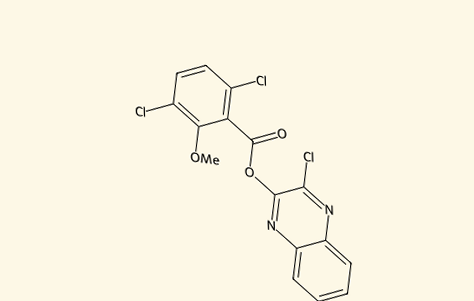 COc1c(Cl)ccc(Cl)c1C(=O)Oc1nc2ccccc2nc1Cl